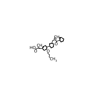 CCCCOc1cc(/C=C(\C)C(=O)O)ccc1-c1cccc(CN(C)C(=O)c2ccccc2)c1